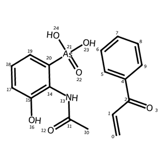 C=CC(=O)c1ccccc1.CC(=O)Nc1c(O)cccc1[As](=O)(O)O